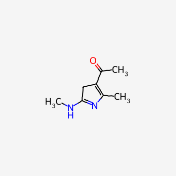 CNC1=NC(C)=C(C(C)=O)C1